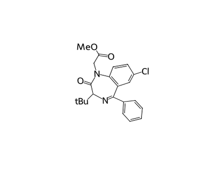 COC(=O)CN1C(=O)C(C(C)(C)C)N=C(c2ccccc2)c2cc(Cl)ccc21